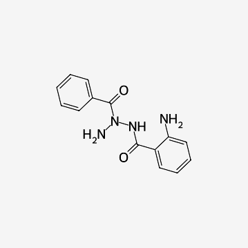 Nc1ccccc1C(=O)NN(N)C(=O)c1ccccc1